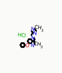 Cc1cnc(CN2CCC(C)C34C=CN=C3C(Oc3ccccc3)=CC=C24)cn1.Cl